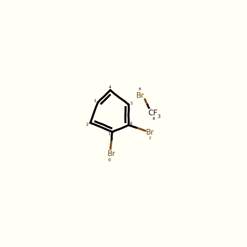 Brc1ccccc1Br.FC(F)(F)Br